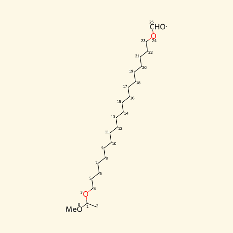 COC(C)OCCCCCCCCCCCCCCCCCCCCO[C]=O